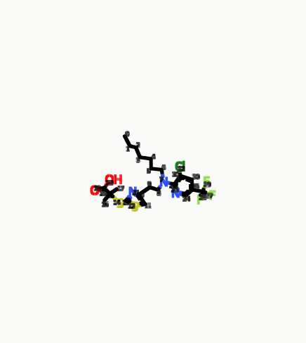 CCCCCCCN(CCc1csc(SC(C)(C)C(=O)O)n1)c1ncc(C(F)(F)F)cc1Cl